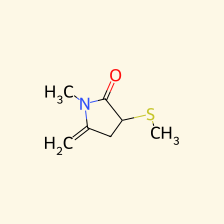 C=C1CC(SC)C(=O)N1C